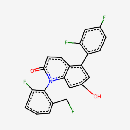 O=c1ccc2c(-c3ccc(F)cc3F)cc(O)cc2n1-c1c(F)cccc1CF